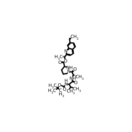 C=Cc1ccc2ccc([C@@H](C)OC(=O)C3CCCN(C(=O)[C@H](C)NC(=O)C(NC(=O)OC(C)(C)C)C(C)C)N3)nc2c1